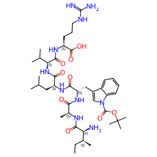 CC[C@H](C)[C@H](N)C(=O)N[C@@H](C)C(=O)N[C@@H](Cc1cn(C(=O)OC(C)(C)C)c2ccccc12)C(=O)N[C@@H](CC(C)C)C(=O)N[C@H](C(=O)N[C@@H](CCCNC(=N)N)C(=O)O)C(C)C